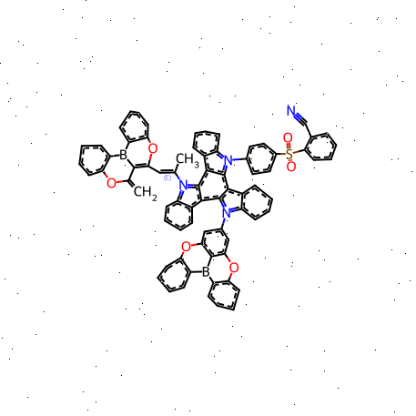 C=C1Oc2ccccc2B2C1=C(/C=C(\C)n1c3ccccc3c3c1c1c4ccccc4n(-c4ccc(S(=O)(=O)c5ccccc5C#N)cc4)c1c1c4ccccc4n(-c4cc5c6c(c4)Oc4ccccc4B6c4ccccc4O5)c31)Oc1ccccc12